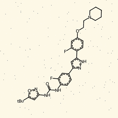 CC(C)(C)c1cc(NC(=O)Nc2ccc(-c3cc(-c4ccc(OCCN5CCCCC5)cc4F)[nH]n3)cc2F)no1